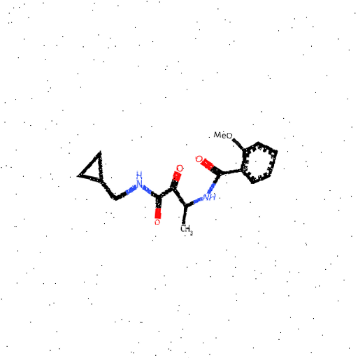 COc1ccccc1C(=O)NC(C)C(=O)C(=O)NCC1CC1